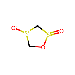 O=S1C[S+]([O-])CO1